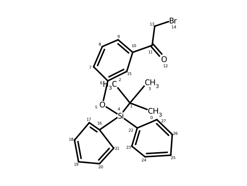 CC(C)(C)[Si](Oc1cccc(C(=O)CBr)c1)(c1ccccc1)c1ccccc1